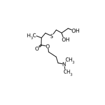 CC(CSCC(O)CO)C(=O)OCCCN(C)C